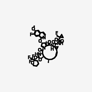 COc1cc2ccnc(O[C@@H]3C[C@H]4C(=O)N[C@]5(C(=O)NS(=O)(=O)C6(CF)CC6)CC5/C=C\CC[C@@H](C)C[C@@H](C)[C@H](NC(=O)OC5(C(F)(F)F)CCCCO5)C(=O)N4C3)c2cc1F